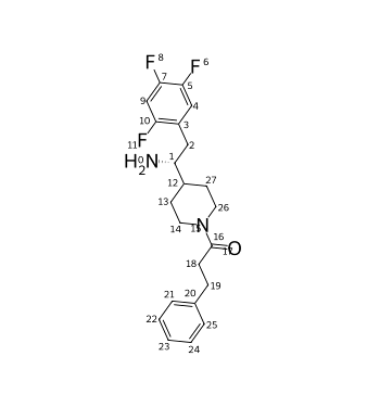 N[C@H](Cc1cc(F)c(F)cc1F)C1CCN(C(=O)CCc2ccccc2)CC1